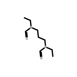 CCN(C=O)CCCN(C=O)CC